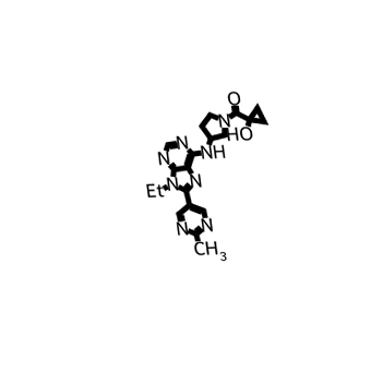 CCn1c(-c2cnc(C)nc2)nc2c(NC3CCN(C(=O)C4(O)CC4)C3)ncnc21